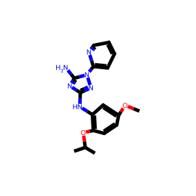 COc1ccc(OC(C)C)c(Nc2nc(N)n(-c3ccccn3)n2)c1